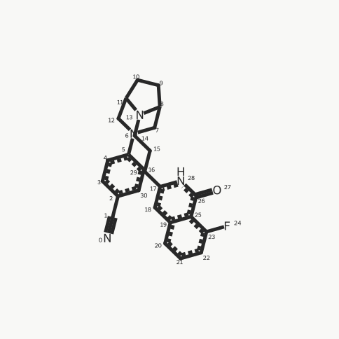 N#Cc1ccc(N2CC3CCC(C2)N3CCCc2cc3cccc(F)c3c(=O)[nH]2)cc1